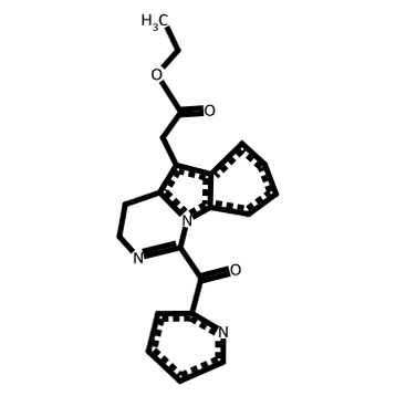 CCOC(=O)Cc1c2n(c3ccccc13)C(C(=O)c1ccccn1)=NCC2